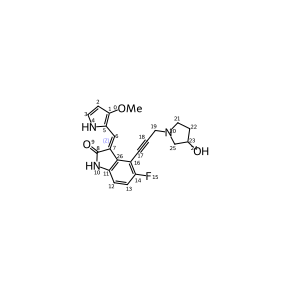 COc1cc[nH]c1/C=C1\C(=O)Nc2ccc(F)c(C#CCN3CCC(O)C3)c21